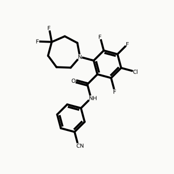 N#Cc1cccc(NC(=O)c2c(F)c(Cl)c(F)c(F)c2N2CCCC(F)(F)CC2)c1